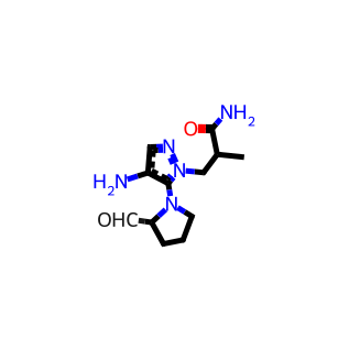 CC(Cn1ncc(N)c1N1CCCC1C=O)C(N)=O